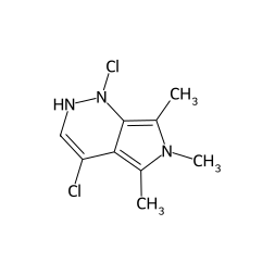 Cc1c2c(c(C)n1C)N(Cl)NC=C2Cl